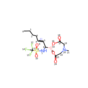 CCCC/C=C/C(NS(=O)(=O)C(F)(F)F)B1OC(=O)CN(C)CC(=O)O1